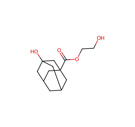 O=C(OCCO)C12CC3CC(CC(O)(C3)C1)C2